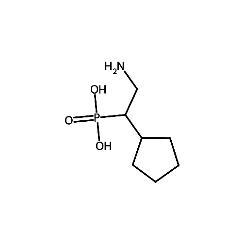 NCC(C1CCCC1)P(=O)(O)O